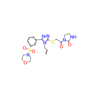 C=CCn1c(SCC(=O)N2CCNC2=O)nnc1-c1cccc(S(=O)(=O)N2CCOCC2)c1